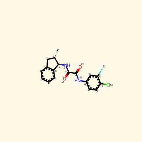 C[C@H]1Cc2ccccc2[C@@H]1NC(=O)C(=O)Nc1ccc(Cl)c(F)c1